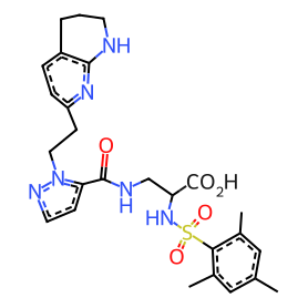 Cc1cc(C)c(S(=O)(=O)NC(CNC(=O)c2ccnn2CCc2ccc3c(n2)NCCC3)C(=O)O)c(C)c1